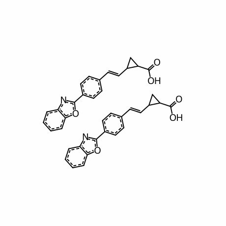 O=C(O)C1CC1C=Cc1ccc(-c2nc3ccccc3o2)cc1.O=C(O)C1CC1C=Cc1ccc(-c2nc3ccccc3o2)cc1